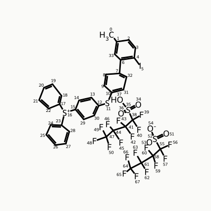 Cc1ccc(I)c(-c2ccc(Sc3ccc([S+](c4ccccc4)c4ccccc4)cc3)cc2)c1.O=S(=O)(O)C(F)(F)C(F)(F)C(F)(F)C(F)(F)F.O=S(=O)([O-])C(F)(F)C(F)(F)C(F)(F)C(F)(F)F